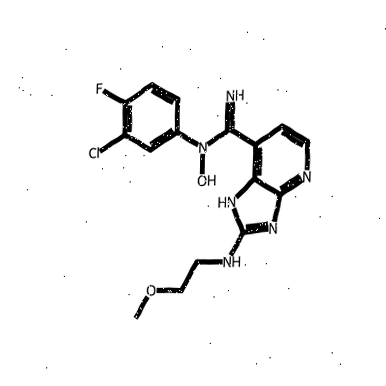 COCCNc1nc2nccc(C(=N)N(O)c3ccc(F)c(Cl)c3)c2[nH]1